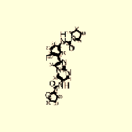 O=C(Nc1cnc2nc(-c3cc(NC(=O)N4CCCC4)ccc3F)cn2c1)[C@H]1CCCO1